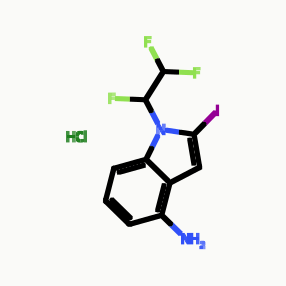 Cl.Nc1cccc2c1cc(I)n2C(F)C(F)F